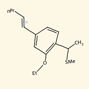 CCC/C=C/c1ccc(C(C)SC)c(OCC)c1